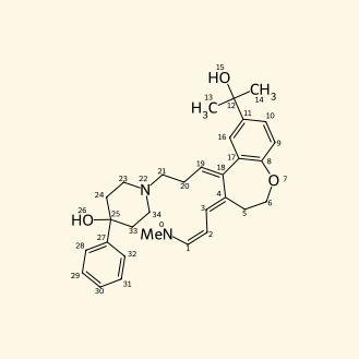 CN\C=C/C=C1\CCOc2ccc(C(C)(C)O)cc2\C1=C\CCN1CCC(O)(c2ccccc2)CC1